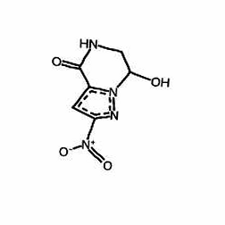 O=C1NCC(O)n2nc([N+](=O)[O-])cc21